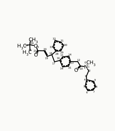 CN(CCc1ccccc1)C(=O)Cc1ccc(CC(C=CC(=O)OC(C)(C)C)c2ccccc2)cc1